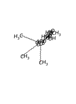 CCCCCCCCCCCCCCCCCCOc1ccc(C(NC(=O)CCC(=O)O[C@]2(O)C[C@H](n3cc(C)c(=O)[nH]c3=O)O[C@@H]2CO)c2ccccc2)c(OCCCCCCCCCCCCCCCCCC)c1OCCCCCCCCCCCCCCCCCC